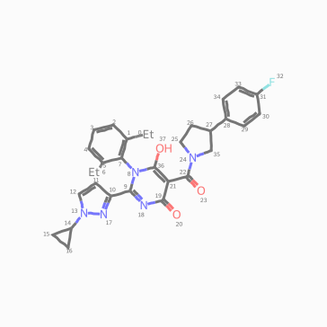 CCc1cccc(CC)c1-n1c(-c2ccn(C3CC3)n2)nc(=O)c(C(=O)N2CCC(c3ccc(F)cc3)C2)c1O